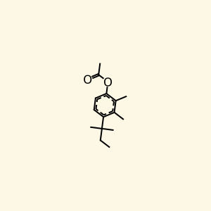 CCC(C)(C)c1ccc(OC(C)=O)c(C)c1C